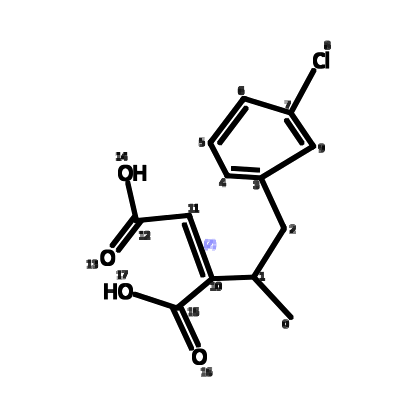 CC(Cc1cccc(Cl)c1)/C(=C/C(=O)O)C(=O)O